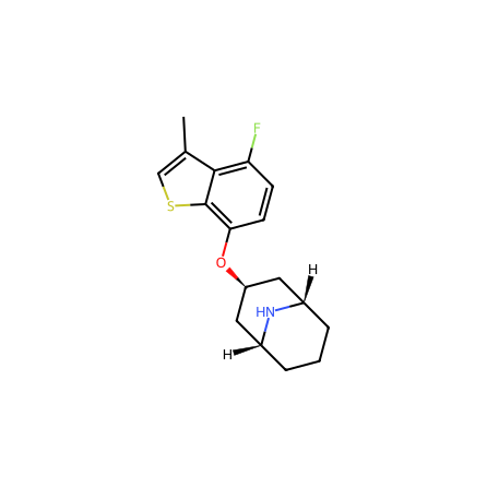 Cc1csc2c(O[C@@H]3C[C@H]4CCC[C@@H](C3)N4)ccc(F)c12